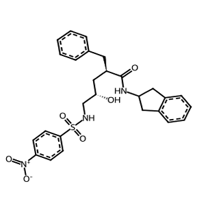 O=C(NC1Cc2ccccc2C1)[C@H](Cc1ccccc1)C[C@H](O)CNS(=O)(=O)c1ccc([N+](=O)[O-])cc1